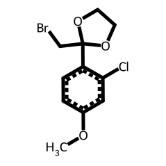 COc1ccc(C2(CBr)OCCO2)c(Cl)c1